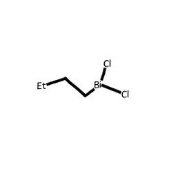 CCC[CH2][Bi]([Cl])[Cl]